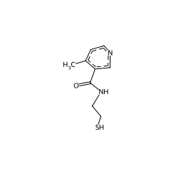 Cc1ccncc1C(=O)NCCS